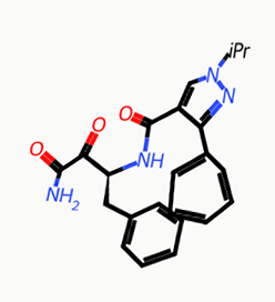 CC(C)n1cc(C(=O)N[C@@H](Cc2ccccc2)C(=O)C(N)=O)c(-c2ccccc2)n1